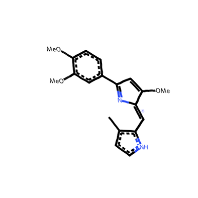 COC1=CC(c2ccc(OC)c(OC)c2)=N/C1=C\c1[nH]ccc1C